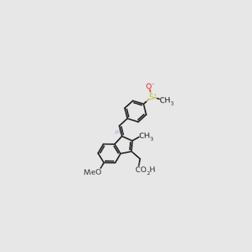 COc1ccc2c(c1)C(CC(=O)O)=C(C)/C2=C\c1ccc([S+](C)[O-])cc1